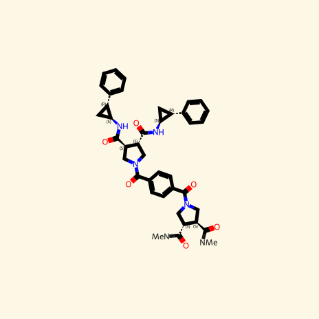 CNC(=O)[C@@H]1CN(C(=O)c2ccc(C(=O)N3C[C@@H](C(=O)N[C@H]4C[C@@H]4c4ccccc4)[C@H](C(=O)N[C@H]4C[C@@H]4c4ccccc4)C3)cc2)C[C@H]1C(=O)NC